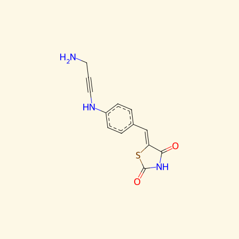 NCC#CNc1ccc(/C=C2\SC(=O)NC2=O)cc1